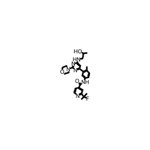 Cc1ccc(NC(=O)c2ccnc(C(C)(C)F)c2)cc1-c1cc(NCC(C)O)nc(N2CCOCC2)n1